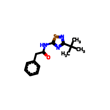 CC(C)(C)c1nsc(NC(=O)Cc2ccccc2)n1